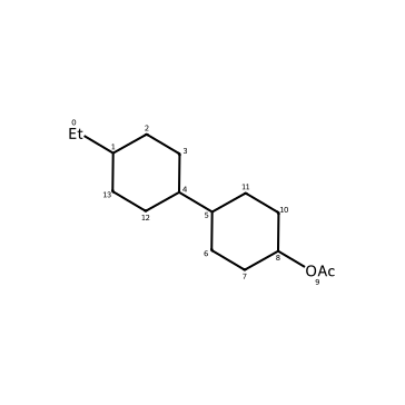 CCC1CCC(C2CCC(OC(C)=O)CC2)CC1